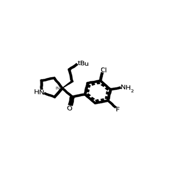 CC(C)(C)CC[C@]1(C(=O)c2cc(F)c(N)c(Cl)c2)CCNC1